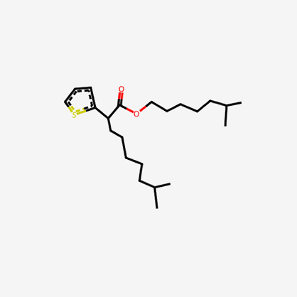 CC(C)CCCCCOC(=O)C(CCCCCC(C)C)c1cccs1